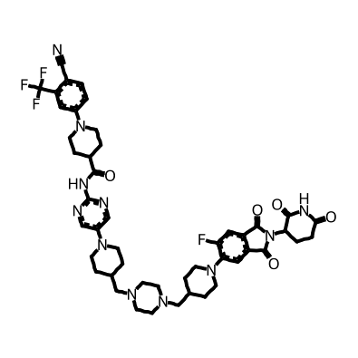 N#Cc1ccc(N2CCC(C(=O)Nc3ncc(N4CCC(CN5CCN(CC6CCN(c7cc8c(cc7F)C(=O)N(C7CCC(=O)NC7=O)C8=O)CC6)CC5)CC4)cn3)CC2)cc1C(F)(F)F